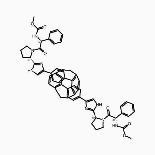 COC(=O)N[C@H](C(=O)N1CCC[C@H]1c1nc(-c2ccc(-c3cc4ccc3CCc3ccc(c(-c5ccc(-c6c[nH]c([C@@H]7CCCN7C(=O)[C@@H](NC(=O)OC)c7ccccc7)n6)cc5)c3)CC4)cc2)c[nH]1)c1ccccc1